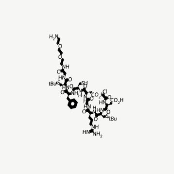 CC(C)(C)SC[C@H](NC(=O)[C@H](Cc1ccccc1)NC(=O)[C@H](CS)NC(=O)[C@H](CC(=O)O)NC(=O)CNC(=O)[C@H](CCCNC(=N)N)NC(=O)[C@H](CSC(C)(C)C)NC(=O)[C@H](CC(=O)O)NC(=O)CCl)C(=O)NCC(=O)NCCOCCOCCN